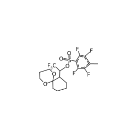 Cc1c(F)c(F)c(S(=O)(=O)OC(C2CCCCC23OCCCO3)C(F)(F)F)c(F)c1F